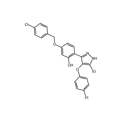 CCc1ccc(Oc2c(-c3ccc(OCc4ccc(Cl)cc4)cc3O)n[nH]c2CC)cc1